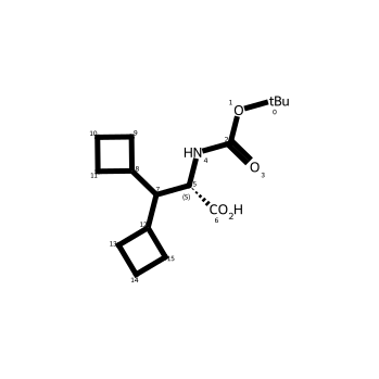 CC(C)(C)OC(=O)N[C@H](C(=O)O)C(C1CCC1)C1CCC1